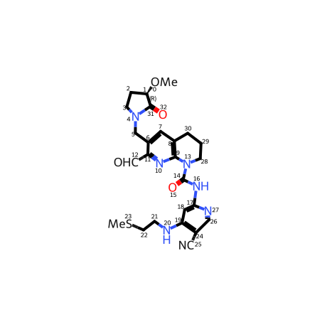 CO[C@@H]1CCN(Cc2cc3c(nc2C=O)N(C(=O)Nc2cc(NCCSC)c(C#N)cn2)CCC3)C1=O